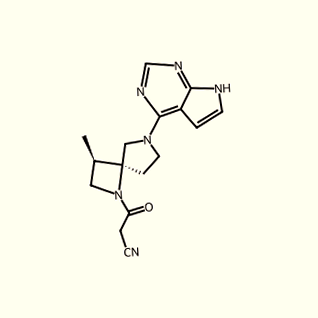 C[C@@H]1CN(C(=O)CC#N)[C@@]12CCN(c1ncnc3[nH]ccc13)C2